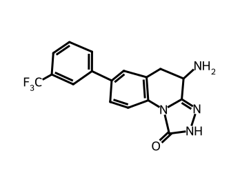 NC1Cc2cc(-c3cccc(C(F)(F)F)c3)ccc2-n2c1n[nH]c2=O